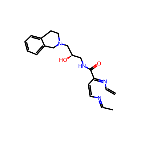 C=C\N=C(/C=C\N=C\C)C(=O)NC[C@@H](O)CN1CCc2ccccc2C1